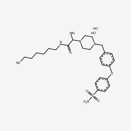 CCCCC(C(=O)NCCCCCCC#N)N1CCN(Cc2ccc(Oc3ccc(S(N)(=O)=O)cc3)cc2)CC1.Cl.Cl